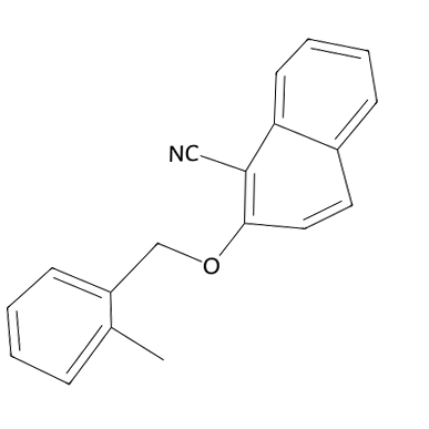 Cc1ccccc1COc1ccc2ccccc2c1C#N